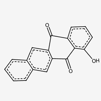 O=C1c2cc3ccccc3cc2C(=O)c2c(O)cccc21